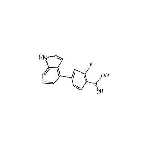 OB(O)c1ccc(-c2cccc3[nH]ccc23)cc1F